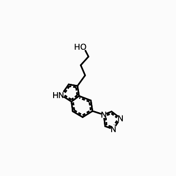 OCCCc1c[nH]c2ccc(-n3cnnc3)cc12